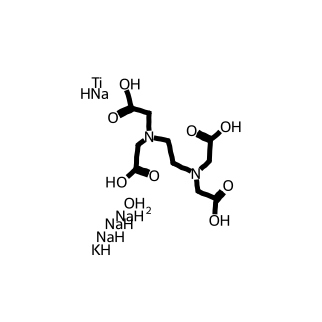 O.O=C(O)CN(CCN(CC(=O)O)CC(=O)O)CC(=O)O.[KH].[NaH].[NaH].[NaH].[NaH].[Ti]